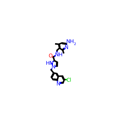 Cc1cc(N)nc(C)c1CNC(=O)C1C=CN(Cc2ccc3ncc(Cl)cc3c2)N1